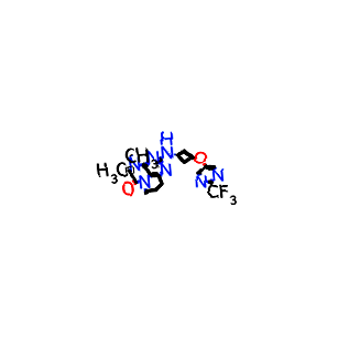 C[C@H]1C(=O)N2CCCc3nc(N[C@H]4C[C@H](Oc5cnc(C(F)(F)F)nc5)C4)nc(c32)N1C